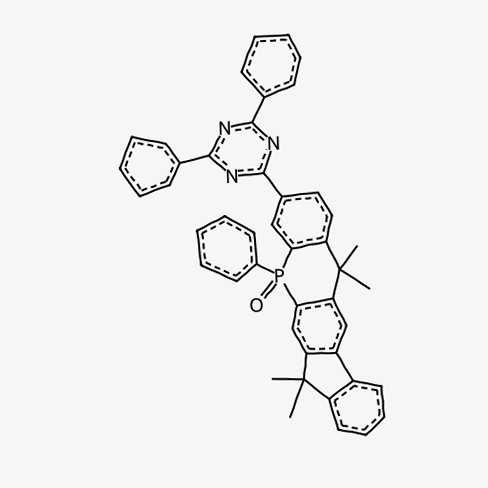 CC1(C)c2ccccc2-c2cc3c(cc21)P(=O)(c1ccccc1)c1cc(-c2nc(-c4ccccc4)nc(-c4ccccc4)n2)ccc1C3(C)C